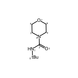 CC(C)(C)NC(=O)N1CCOCC1